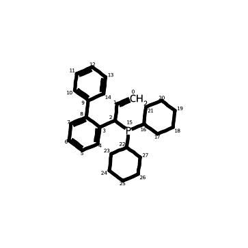 C=CC(c1ccccc1-c1ccccc1)P(C1CCCCC1)C1CCCCC1